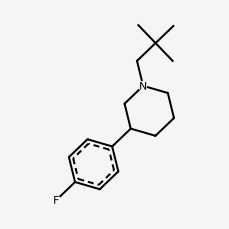 CC(C)(C)CN1CCCC(c2ccc(F)cc2)C1